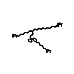 CC(C)CCCCCCCCCCC(CCCCCCC(C)C)CCC(=O)OCCCCCCC(C)C